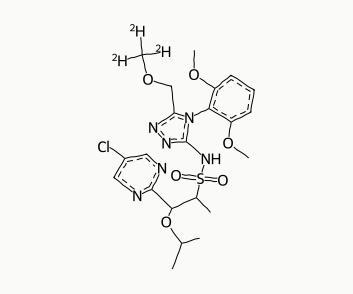 [2H]C([2H])([2H])OCc1nnc(NS(=O)(=O)C(C)C(OC(C)C)c2ncc(Cl)cn2)n1-c1c(OC)cccc1OC